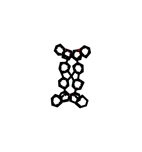 C1=CC(N(C2=CCCC=C2)c2ccc3c(c2)C2(c4cc(N(C5=CCCC=C5)c5ccccc5)ccc4-c4ccc(N(c5ccccc5)c5ccccc5)cc42)c2cc(N(c4ccccc4)c4ccccc4)ccc2-3)=CCC1